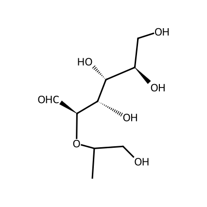 CC(CO)O[C@@H](C=O)[C@@H](O)[C@H](O)[C@H](O)CO